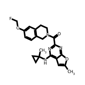 Cc1cc2c(NC3(C)CC3)nc(C(=O)N3CCc4cc(OCF)ccc4C3)nc2o1